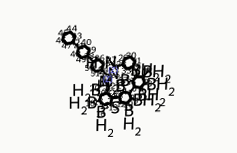 Bc1c(B)c(B)c(-c2c(B)c(B)c3sc4c(B)c(B)c(B)c(C/N=C(\N=C(/N)c5ccccc5)c5ccc(-c6ccc(-c7ccccc7)cc6)cc5)c4c3c2B)c(B)c1B